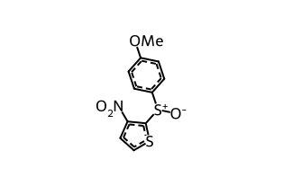 COc1ccc([S+]([O-])c2sccc2[N+](=O)[O-])cc1